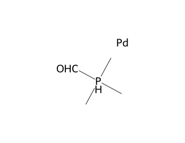 C[PH](C)(C)C=O.[Pd]